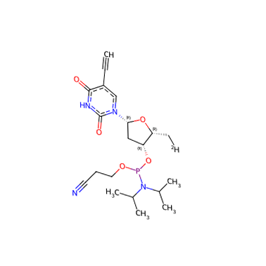 [2H]C[C@H]1O[C@@H](n2cc(C#C)c(=O)[nH]c2=O)C[C@H]1OP(OCCC#N)N(C(C)C)C(C)C